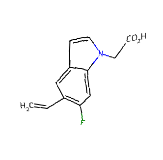 C=Cc1cc2ccn(CC(=O)O)c2cc1F